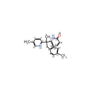 Cc1ccc(C(C)(Cc2ccc(C(F)(F)F)cc2)c2cccc(=O)[nH]2)nc1